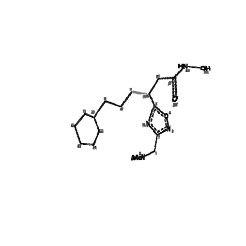 CNCc1noc([C@H](CCCC2CCCCC2)CC(=O)NO)n1